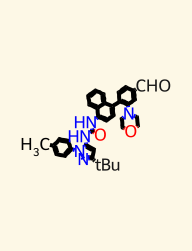 Cc1ccc(-n2nc(C(C)(C)C)cc2NC(=O)Nc2ccc(-c3ccc(C=O)cc3N3CCOCC3)c3ccccc23)cc1